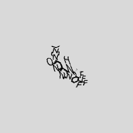 COc1nc2ncnc(N[C@H](C)c3cccc(C(F)(F)F)c3F)c2cc1N1CCN(C(C)C)CC1